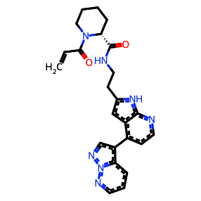 C=CC(=O)N1CCCC[C@@H]1C(=O)NCCc1cc2c(-c3cnn4ncccc34)ccnc2[nH]1